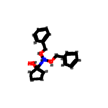 OC1(N(OCc2ccccc2)OCc2ccccc2)CCCC1